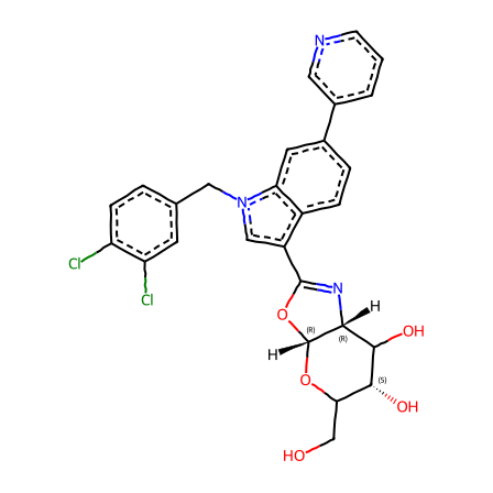 OCC1O[C@@H]2OC(c3cn(Cc4ccc(Cl)c(Cl)c4)c4cc(-c5cccnc5)ccc34)=N[C@@H]2C(O)[C@@H]1O